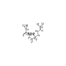 C=C(NCC(C)C(C)(C)CCC=C(C)C)C1CC1